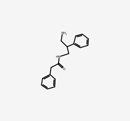 NCC(CNC(=O)Cc1ccccc1)c1ccccc1